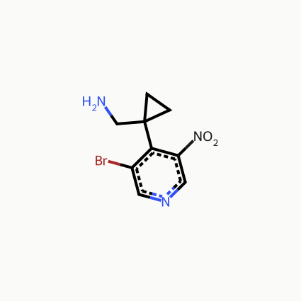 NCC1(c2c(Br)cncc2[N+](=O)[O-])CC1